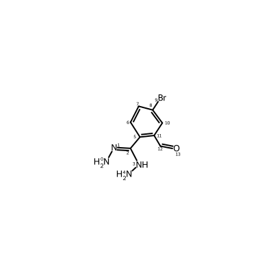 N/N=C(\NN)c1ccc(Br)cc1C=O